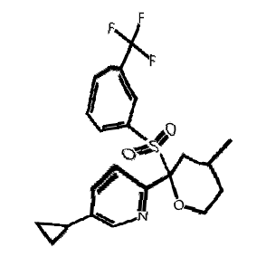 CC1CCOC(c2ccc(C3CC3)cn2)(S(=O)(=O)c2cccc(C(F)(F)F)c2)C1